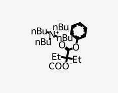 CCC(CC)(C(=O)[O-])C(=O)Oc1ccccc1.CCCC[N+](CCCC)(CCCC)CCCC